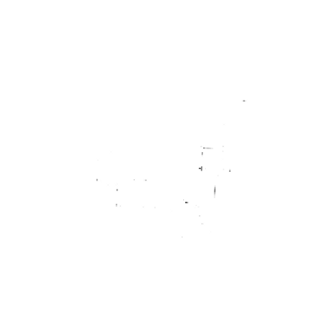 O=c1ccc(-c2ccc(OC(F)F)cc2)nn1Cc1nnc(-c2ccccc2)s1